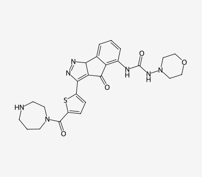 O=C(Nc1cccc2c1C(=O)C1=C(c3ccc(C(=O)N4CCCNCC4)s3)N=NC12)NN1CCOCC1